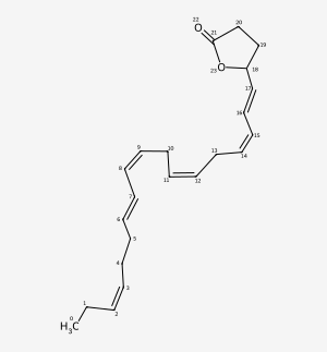 CC/C=C\CC/C=C/C=C\C/C=C\C/C=C\C=C\C1CCC(=O)O1